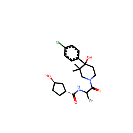 CC(C)C(NC(=O)[C@@H]1CC[C@@H](O)C1)C(=O)N1CCC(O)(c2ccc(Cl)cc2)C(C)(C)C1